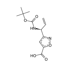 C=C[C@H](NC(=O)OC(C)(C)C)c1cc(C(=O)O)on1